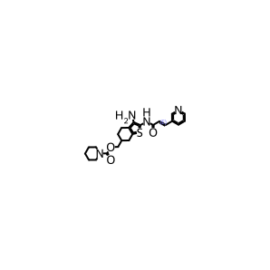 Nc1c(NC(=O)/C=C/c2cccnc2)sc2c1CCC(COC(=O)N1CCCCC1)C2